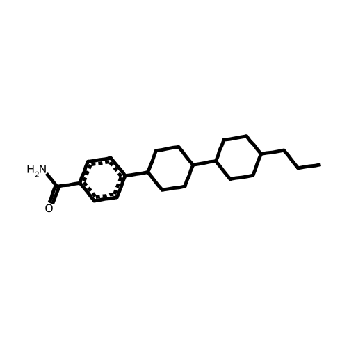 CCCC1CCC(C2CCC(c3ccc(C(N)=O)cc3)CC2)CC1